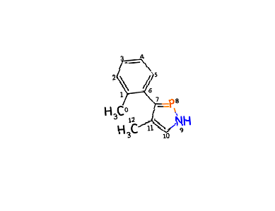 Cc1ccccc1-c1p[nH]cc1C